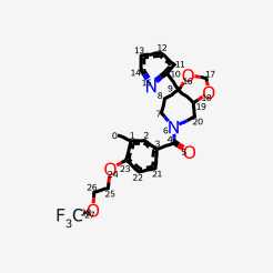 Cc1cc(C(=O)N2CCC3(c4ccccn4)OCOC3C2)ccc1OCCOC(F)(F)F